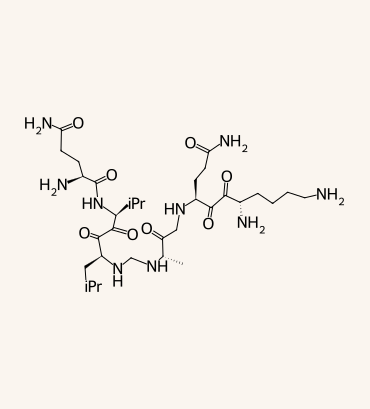 CC(C)C[C@H](NCN[C@@H](C)C(=O)CN[C@@H](CCC(N)=O)C(=O)C(=O)[C@@H](N)CCCCN)C(=O)C(=O)[C@@H](NC(=O)[C@@H](N)CCC(N)=O)C(C)C